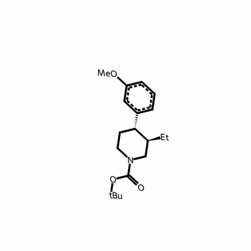 CC[C@H]1CN(C(=O)OC(C)(C)C)CC[C@@H]1c1cccc(OC)c1